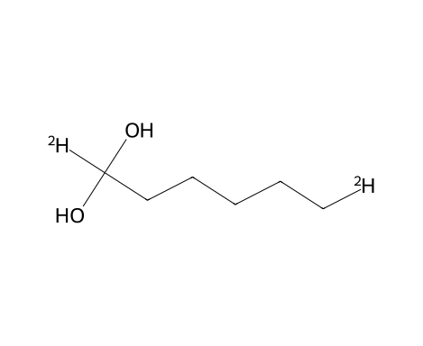 [2H]CCCCCC([2H])(O)O